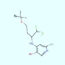 CC(C)(C)[Si](C)(C)OCCC(Nc1cc(Cl)ncc1Br)C(F)F